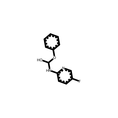 OC(Nc1ccc(F)cn1)Oc1ccccc1